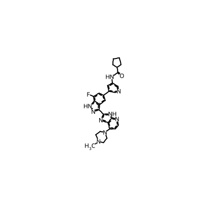 CN1CCN(c2ccnc3[nH]c(-c4n[nH]c5c(F)cc(-c6cncc(NC(=O)C7CCCC7)c6)cc45)nc23)CC1